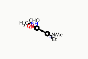 CC/C=C(\NC)c1ccc(C#Cc2ccc(C(=O)NC(C=O)C(C)O)cc2)cc1